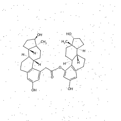 C[C@]12CC[C@@H]3c4c(cc(O)cc4CC(=O)Oc4cc(O)cc5c4[C@H]4CC[C@]6(C)[C@H](O)CC[C@H]6[C@@H]4CC5)CC[C@H]3[C@@H]1CC[C@H]2O